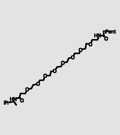 CCCCCC(=O)NCCOCCOCCOCCOCCOCCOCCOCCOCCC(=O)NC(C)C(C)C